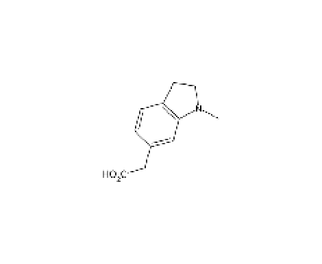 CN1CCc2ccc(CC(=O)O)cc21